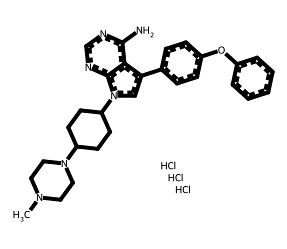 CN1CCN(C2CCC(n3cc(-c4ccc(Oc5ccccc5)cc4)c4c(N)ncnc43)CC2)CC1.Cl.Cl.Cl